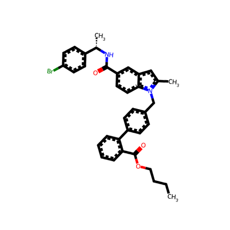 CCCCOC(=O)c1ccccc1-c1ccc(Cn2c(C)cc3cc(C(=O)N[C@@H](C)c4ccc(Br)cc4)ccc32)cc1